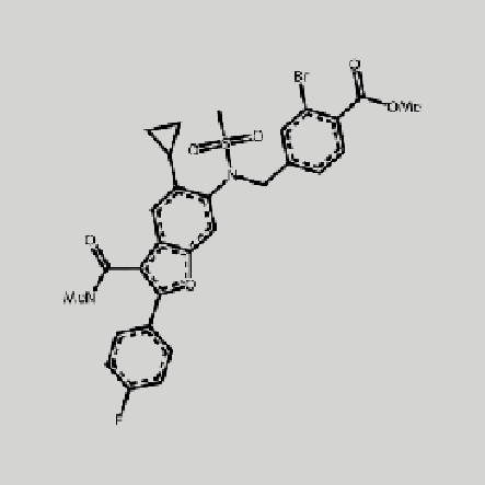 CNC(=O)c1c(-c2ccc(F)cc2)oc2cc(N(Cc3ccc(C(=O)OC)c(Br)c3)S(C)(=O)=O)c(C3CC3)cc12